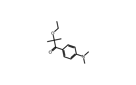 CCOC(C)(C)C(=O)c1ccc(N(C)C)cc1